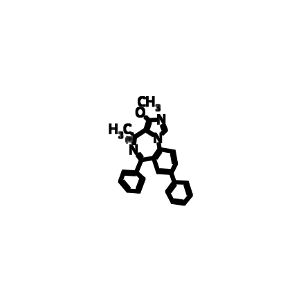 COc1ncn2c1[C@@H](C)N=C(c1ccccc1)c1cc(-c3ccccc3)ccc1-2